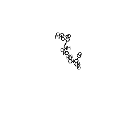 Cn1c(=O)ccc2c(N3CCCc4nc(-c5ccc(C(=O)NCC#Cc6ccc7occ(C8CCC(=O)NC8=O)c7c6)nc5)ncc43)cc(C3CCOCC3)cc21